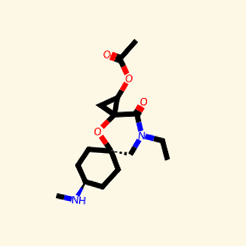 CCN1C[C@]2(CC[C@H](NC)CC2)OC2(CC2OC(C)=O)C1=O